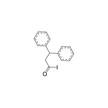 O=C(I)CC(c1ccccc1)c1ccccc1